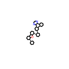 c1ccc(-c2cccc3c2oc2c(-c4ccccc4-c4ccc5c(c4)c4ccccc4c4nccnc54)cccc23)cc1